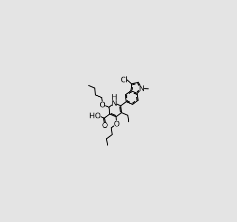 CCCCOC1=C(C(=O)O)C(OCCCC)NC(c2ccc3c(c2)c(Cl)cn3C)=C1CC